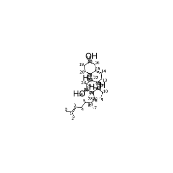 CC(C)=CCC[C@@H](C)[C@H]1CC[C@H]2[C@@H]3CC=C4C[C@H](O)CC[C@]4(C)[C@H]3C[C@H](O)[C@]12C